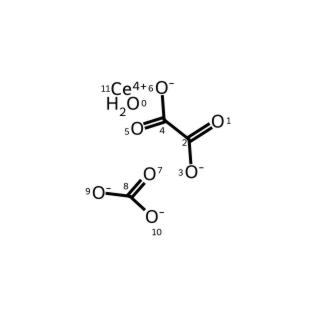 O.O=C([O-])C(=O)[O-].O=C([O-])[O-].[Ce+4]